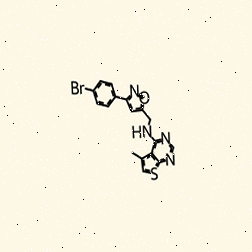 Cc1csc2ncnc(NCc3cc(-c4ccc(Br)cc4)no3)c12